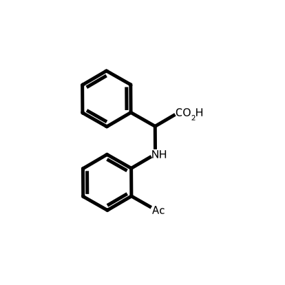 CC(=O)c1ccccc1NC(C(=O)O)c1ccccc1